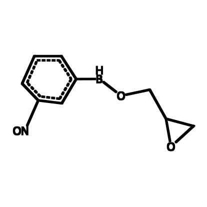 O=Nc1cccc(BOCC2CO2)c1